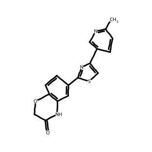 Cc1ccc(-c2csc(-c3ccc4c(c3)NC(=O)CO4)n2)cn1